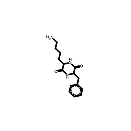 NCCCCC1NC(=O)C(Cc2ccccc2)NC1=O